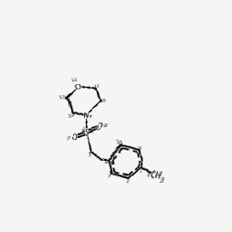 Cc1ccc(CS(=O)(=O)N2CCOCC2)cc1